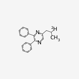 [2H]C(C)Cc1cnc(-c2ccccc2)c(-c2ccccc2)n1